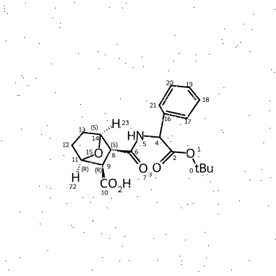 CC(C)(C)OC(=O)C(NC(=O)[C@H]1[C@@H](C(=O)O)[C@H]2CC[C@@H]1O2)c1ccccc1